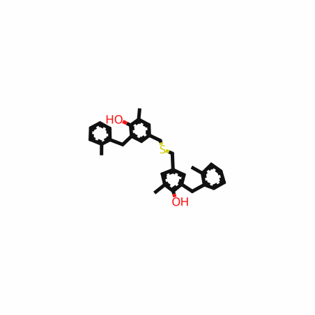 Cc1ccccc1Cc1cc(CSCc2cc(C)c(O)c(Cc3ccccc3C)c2)cc(C)c1O